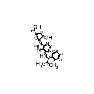 CC(C)C(Nc1ncnc2c1ncn2[C@@H]1O[C@H](CO)CC1O)c1ccccc1